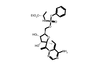 C=C(N1N=CN=C(N)/C1=C/C)[C@]1(C)O[C@H](COP(=O)(N[C@@H](C)C(=O)OCC)Oc2ccccc2)[C@@H](O)[C@H]1O